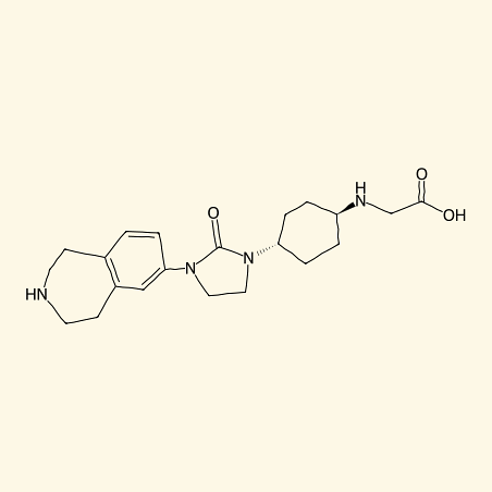 O=C(O)CN[C@H]1CC[C@H](N2CCN(c3ccc4c(c3)CCNCC4)C2=O)CC1